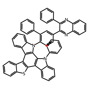 c1ccc(-c2cc(-c3nc4ccccc4nc3-c3ccccc3)ccc2-n2c3ccccc3c3c4c5ccccc5sc4c4c5ccccc5n(-c5ccccc5)c4c32)cc1